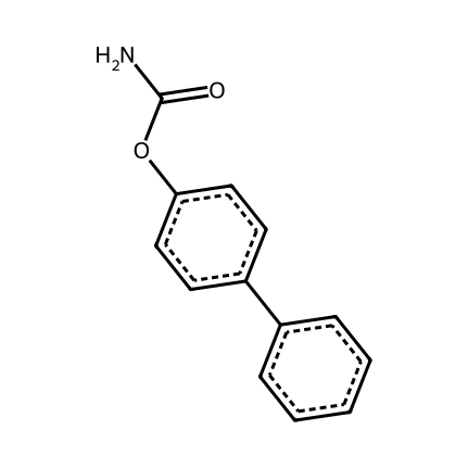 NC(=O)Oc1ccc(-c2ccccc2)cc1